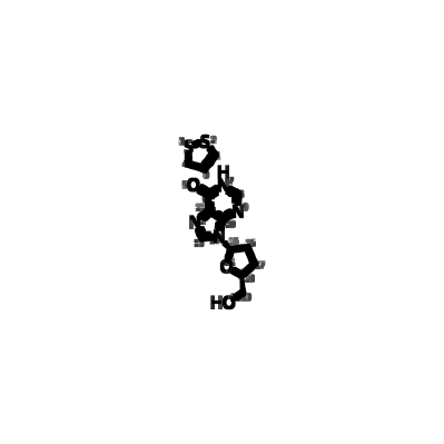 C1=CSSC1.O=c1[nH]cnc2c1ncn2[C@H]1CC[C@@H](CO)O1